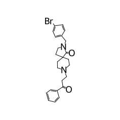 O=C(CCN1CCC2(CC1)CCN(Cc1ccc(Br)cc1)C2=O)c1ccccc1